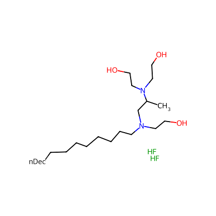 CCCCCCCCCCCCCCCCCCN(CCO)CC(C)N(CCO)CCO.F.F